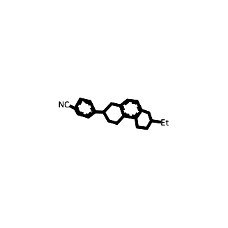 CCC1CCc2c(ccc3c2CCC(c2ccc(C#N)cc2)C3)C1